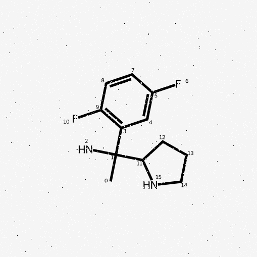 CC([NH])(c1cc(F)ccc1F)C1CCCN1